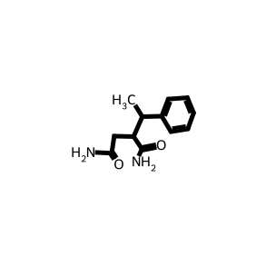 CC(c1ccccc1)C(CC(N)=O)C(N)=O